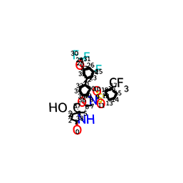 O=C1CC[C@](C[C@H]2CN(S(=O)(=O)c3cccc(C(F)(F)F)c3)c3cc(-c4cc(F)cc(OC(F)F)c4)ccc3O2)(C(=O)O)N1